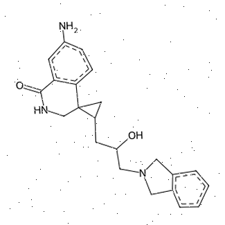 Nc1ccc2c(c1)C(=O)NCC21CC1CC(O)CN1Cc2ccccc2C1